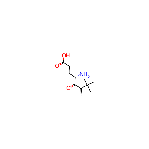 C=C(C(=O)[C@@H](N)CCC(=O)O)C(C)(C)C